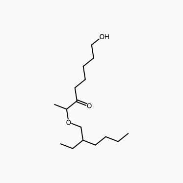 CCCCC(CC)COC(C)C(=O)CCCCCO